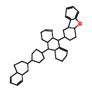 C1=CC2CCC(C3CCC(C4C5CCCC=C5C(C5CCC6Oc7ccccc7C6C5)C5C=CCCC54)CC3)CC2C=C1